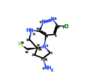 N[C@H]1CN2c3cc(Cl)nnc3NC[C@@]2(CF)C1